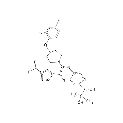 CC(C)(O)[C@@H](O)c1cc2nc(-c3cnn(C(F)F)c3)c(N3CCC(Oc4ccc(F)cc4F)CC3)nc2cn1